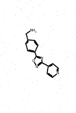 NCc1ccc(-c2nc(-c3ccncc3)no2)cc1